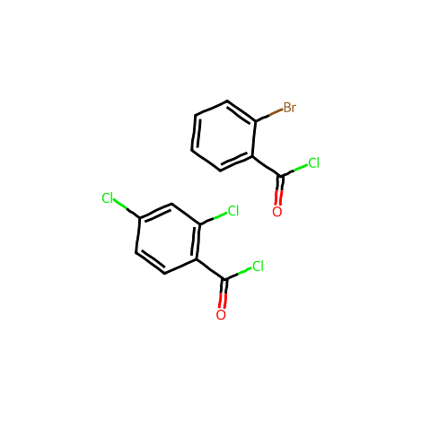 O=C(Cl)c1ccc(Cl)cc1Cl.O=C(Cl)c1ccccc1Br